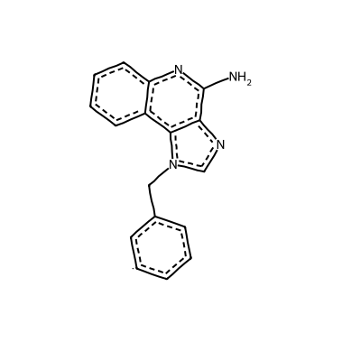 Nc1nc2ccccc2c2c1ncn2Cc1c[c]ccc1